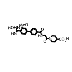 COc1cc(-c2ccc(C(=O)NCC(=O)N3CCC(C(=O)O)CC3)cc2)ccc1C(=N)NO